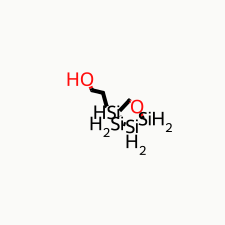 OCCC[SiH]1CO[SiH2][SiH2][SiH2]1